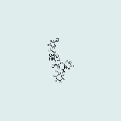 C/C(=C\S(=O)(=O)N[C@H]1CCN([C@@H](Cc2ccccc2)C(=O)N2CCOCC2)C1=O)c1ccc(Cl)s1